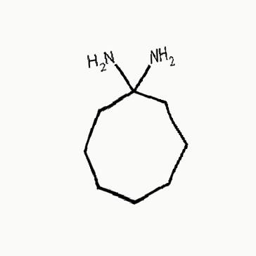 NC1(N)CCCCCCC1